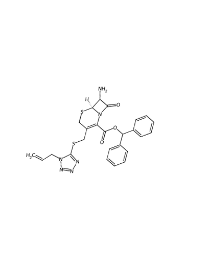 C=CCn1nnnc1SCC1=C(C(=O)OC(c2ccccc2)c2ccccc2)N2C(=O)C(N)[C@@H]2SC1